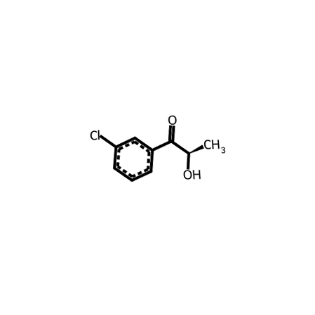 C[C@@H](O)C(=O)c1cccc(Cl)c1